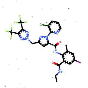 CCNC(=O)c1cc(I)cc(C)c1NC(=O)c1cc(Cn2nc(C(F)(F)F)c(C(F)(F)F)n2)nn1-c1ncccc1Cl